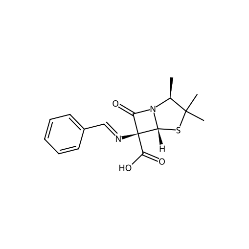 C[C@@H]1N2C(=O)[C@@](N=Cc3ccccc3)(C(=O)O)[C@H]2SC1(C)C